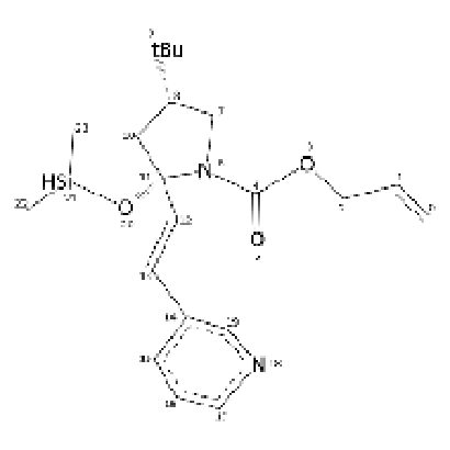 C=CCOC(=O)N1C[C@@H](C(C)(C)C)C[C@@]1(C=Cc1cccnc1)O[SiH](C)C